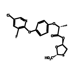 C[C@@H](Oc1ccc(Oc2ncc(Cl)cc2F)cc1)C(=O)O[C@H]1CS[C@H](C(=O)O)O1